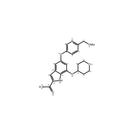 COCc1ccc(Oc2cc(OC3CCOCC3)c3[nH]c(C(N)=O)cc3c2)cn1